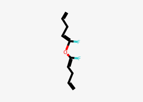 C=CC/C=C(\F)O/C(F)=C/CC=C